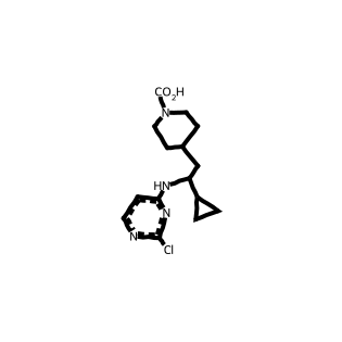 O=C(O)N1CCC(CC(Nc2ccnc(Cl)n2)C2CC2)CC1